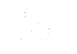 O=[S+]c1ccc(F)cc1F